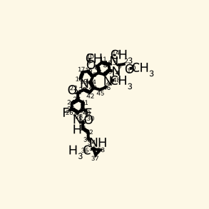 COCc1nc2c3c(c(OC)cc2n1C)-c1cccn2c(C(=O)c4cc(F)c(NC(=O)/C=C/CNC5(C)CC5)c(F)c4)cc(c12)CCN3C